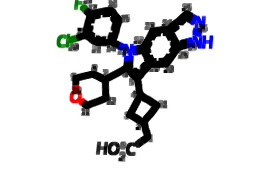 O=C(O)CC1CC(c2c(C3CCOCC3)n(-c3ccc(F)c(Cl)c3)c3cc4cn[nH]c4cc23)C1